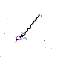 CCCCCCCCCCCCC(C)(C)c1noc(=O)[nH]1